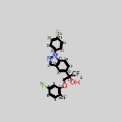 OC(COc1cc(F)ccc1F)(c1ccc2c(cnn2-c2ccc(F)cc2)c1)C(F)(F)F